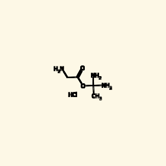 CC(N)(N)OC(=O)CN.Cl